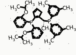 Cc1cc(C)cc(P(c2cc(C)cc(C)c2)[C@H](C)C2=C(P(c3ccccc3OC(C)C)c3ccccc3OC(C)C)C=CC2)c1